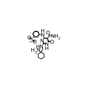 CS(=O)(=O)c1cccc(Nc2nc(NCC3(N)CCCCC3)[nH]c(=O)c2C(N)=O)c1